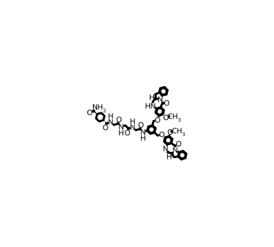 COc1cc2c(cc1OCc1cc(COc3cc4c(cc3OC)C(=O)N3c5ccccc5C[C@H]3CN4)cc(NC(=O)CNC(=O)CNC(=O)CNC(=O)[C@H]3CC[C@H](C(N)=O)CC3)c1)N=C[C@@H]1Cc3ccccc3N1C2=O